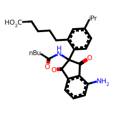 CCCCC(=O)NC1(c2ccc(C(C)C)cc2CCCCC(=O)O)C(=O)c2cccc(N)c2C1=O